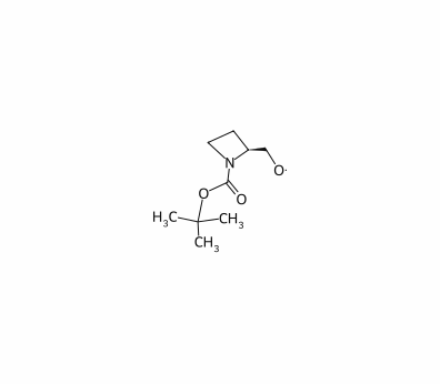 CC(C)(C)OC(=O)N1CC[C@H]1C[O]